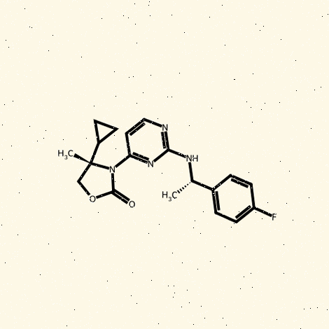 C[C@H](Nc1nccc(N2C(=O)OC[C@]2(C)C2CC2)n1)c1ccc(F)cc1